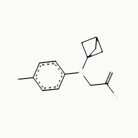 NC(=O)CN(c1ccc(Cl)cc1)C12CC(C1)C2